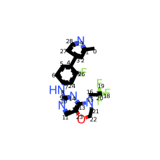 Cc1cc(-c2ccc(Nc3ncc4c(n3)N(CC(F)(F)F)CCO4)cc2F)ccn1